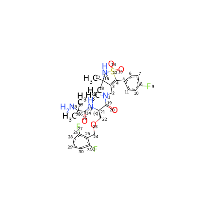 CN(CC1=C(c2ccc(F)cc2)S(=O)(=O)NC1(C)C)C(=O)[C@@H](COCc1c(F)cccc1F)NC(=O)C(C)(C)N